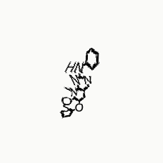 Cn1c(=O)c(Oc2cccs2)cc2cnc(Nc3ccccc3)nc21